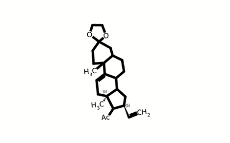 C=C[C@@H]1CC2C3CCC4CC5(CCC4(C)C3=CC[C@]2(C)C1C(C)=O)OCCO5